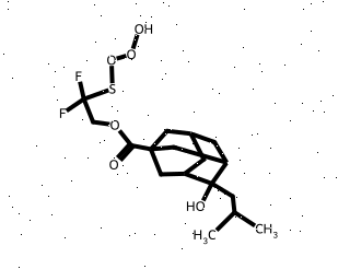 CC(C)CC1(O)C2CC3CC1CC(C(=O)OCC(F)(F)SOOO)(C3)C2